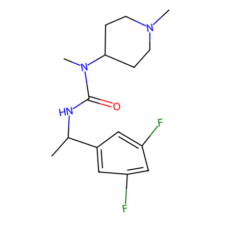 CC(NC(=O)N(C)C1CCN(C)CC1)c1cc(F)cc(F)c1